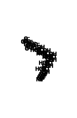 O=P(O)(O)O.O=P(O)(O)O.O=P(O)(O)O.O=P(O)(O)O.O=P(O)(O)O.O=P([O-])([O-])OP(=O)([O-])OP(=O)([O-])[O-].[Na+].[Na+].[Na+].[Na+].[Na+]